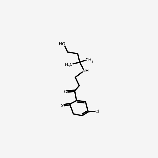 CC(C)(CCO)NCCC(=O)C1=CC(Cl)=CCC1=S